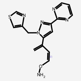 C=C(/C=C\ON)c1cc(-c2ncccn2)nn1Cc1cscn1